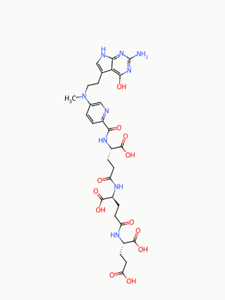 CN(CCc1c[nH]c2nc(N)nc(O)c12)c1ccc(C(=O)N[C@@H](CCC(=O)N[C@@H](CCC(=O)N[C@@H](CCC(=O)O)C(=O)O)C(=O)O)C(=O)O)nc1